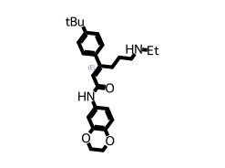 CCNCCC/C(=C\C(=O)Nc1ccc2c(c1)OCCO2)c1ccc(C(C)(C)C)cc1